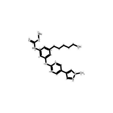 Cn1cc(-c2cnc(Oc3cc(CCCCCO)cc(NC(=O)OC(C)(C)C)c3)nc2)cn1